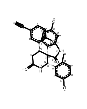 C#Cc1ccc(OC)c([C@H]2CC(=O)N[C@@H](c3cc(Cl)ccc3C)[C@]23C(=O)Nc2cc(Cl)ccc23)c1